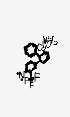 CN(C)c1ccc(-c2cccc(S(N)(=O)=O)c2-c2ccccc2)cc1C(F)(F)F